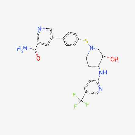 NC(=O)c1cncc(-c2ccc(SN3CCC(Nc4ccc(C(F)(F)F)cn4)C(O)C3)cc2)c1